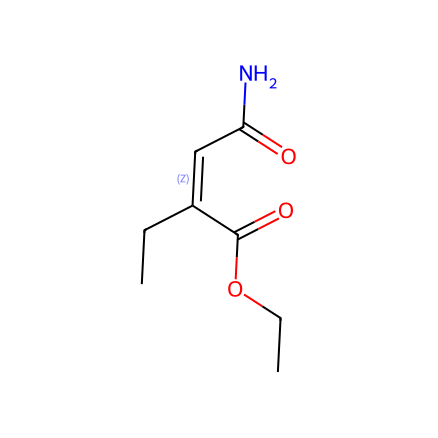 CCOC(=O)/C(=C\C(N)=O)CC